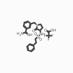 N=C(N)c1cccc(CN2CCC(NS(=O)(=O)CCc3ccccc3)C2=O)c1.O=C(O)C(F)(F)F